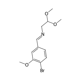 COc1cc(/C=N/CC(OC)OC)ccc1Br